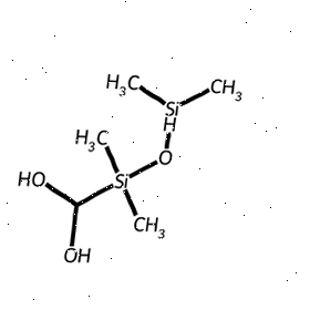 C[SiH](C)O[Si](C)(C)C(O)O